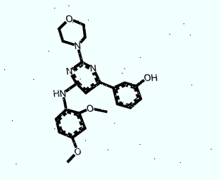 COc1ccc(Nc2cc(-c3cccc(O)c3)nc(N3CCOCC3)n2)c(OC)c1